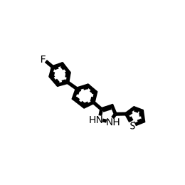 Fc1ccc(-c2ccc(C3=CC(c4cccs4)NN3)cc2)cc1